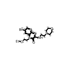 CCOCCn1c(=O)c(NCCN2CCOCC2)nc2ncc(Br)cc21